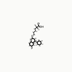 Cc1ccc2nc(OCCCCC(C)(C)C(=O)O)cc(-c3ccccc3)c2c1